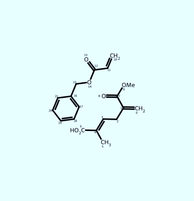 C=C(CC=C(C)C(=O)O)C(=O)OC.C=CC(=O)OCc1ccccc1